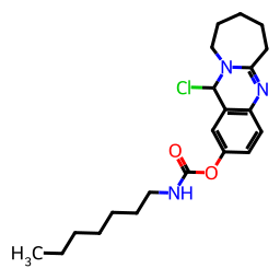 CCCCCCCNC(=O)Oc1ccc2c(c1)C(Cl)N1CCCCCC1=N2